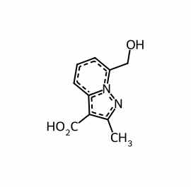 Cc1nn2c(CO)cccc2c1C(=O)O